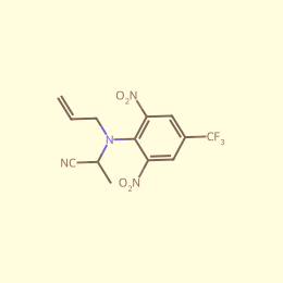 C=CCN(c1c([N+](=O)[O-])cc(C(F)(F)F)cc1[N+](=O)[O-])C(C)C#N